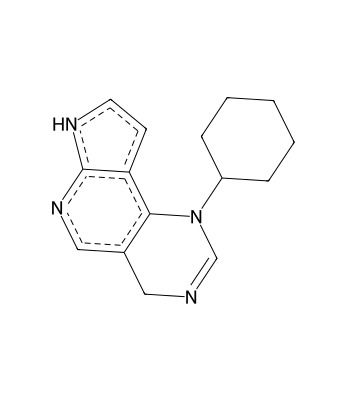 C1=NCc2cnc3[nH]ccc3c2N1C1CCCCC1